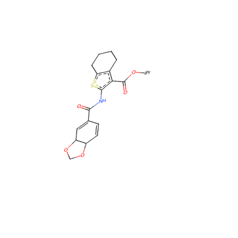 CC(C)OC(=O)c1c(NC(=O)C2=CC3OCOC3C=C2)sc2c1CCCC2